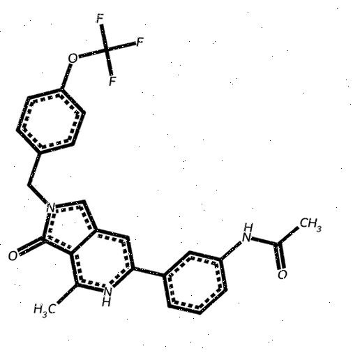 CC(=O)Nc1cccc(-c2cc3cn(Cc4ccc(OC(F)(F)F)cc4)c(=O)c-3c(C)[nH]2)c1